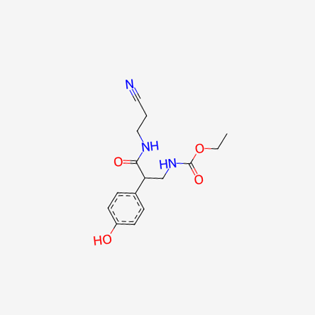 CCOC(=O)NCC(C(=O)NCCC#N)c1ccc(O)cc1